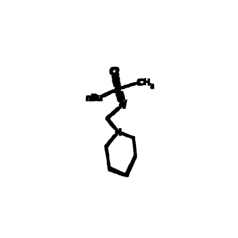 CCCCS(C)(=O)=NCN1CCCCC1